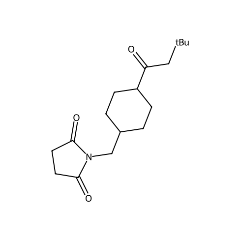 CC(C)(C)CC(=O)C1CCC(CN2C(=O)CCC2=O)CC1